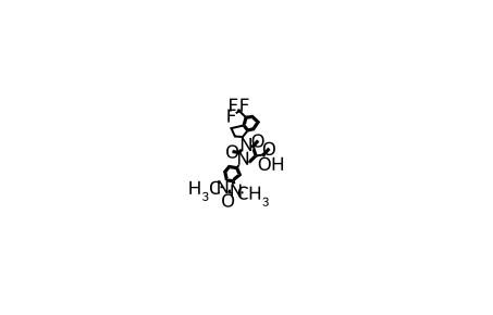 Cn1c(=O)n(C)c2cc(-n3cc(C(=O)O)c(=O)n([C@@H]4CCc5c4cccc5C(F)(F)F)c3=O)ccc21